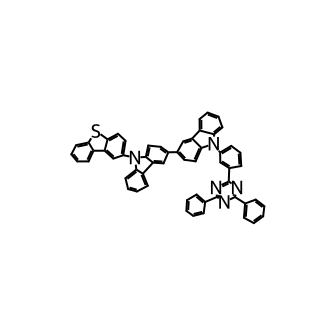 c1ccc(-c2nc(-c3ccccc3)nc(-c3cccc(-n4c5ccccc5c5cc(-c6ccc7c(c6)c6ccccc6n7-c6ccc7sc8ccccc8c7c6)ccc54)c3)n2)cc1